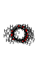 CO[C@H]([C@H](C)CC=O)[C@@H]1C(=O)N[C@H]([C@@H](C)OC)C(=O)N(C)CC(=O)CN(C)[C@@H](CC(C)C)C(=O)N[C@H](CC(C)C)C(=O)N(C)[C@H](CC(C)C)C(=O)N[C@H](C)C(=O)O[C@@H](C(C)C)C(=O)N(C)[C@H](CC(C)C)C(=O)N[C@H](CC(C)C)C(=O)N(C)[C@H](C(C)C)C(=O)N1C